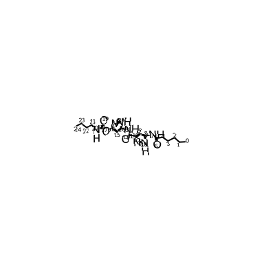 CCCCCC(=O)Nc1cc(C(=O)Nc2cc(OC(=O)NCCCC)n[nH]2)n[nH]1